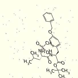 CC(C)C[C@H](NS(C)(=O)=O)C(=O)N[C@@H](Cc1ccc(OCc2ccccc2)cc1)C(=O)OC(C)(C)C